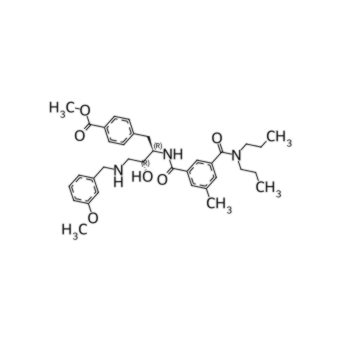 CCCN(CCC)C(=O)c1cc(C)cc(C(=O)N[C@H](Cc2ccc(C(=O)OC)cc2)[C@H](O)CNCc2cccc(OC)c2)c1